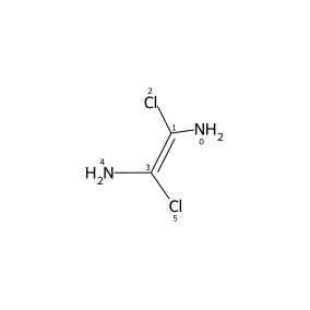 NC(Cl)=C(N)Cl